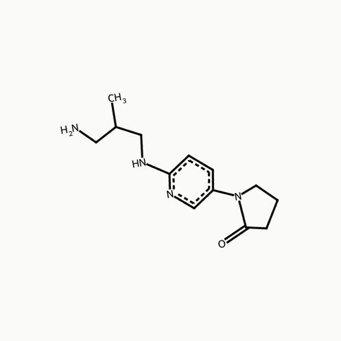 CC(CN)CNc1ccc(N2CCCC2=O)cn1